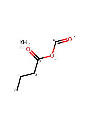 CCCC(=O)OC=O.[KH]